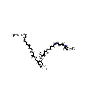 CCCCC/C=C\C/C=C\CCCCCCCC(=O)OCC1CN(C)C[C@H]1COC(=O)CCCCCCC/C=C\C/C=C\CCCCC